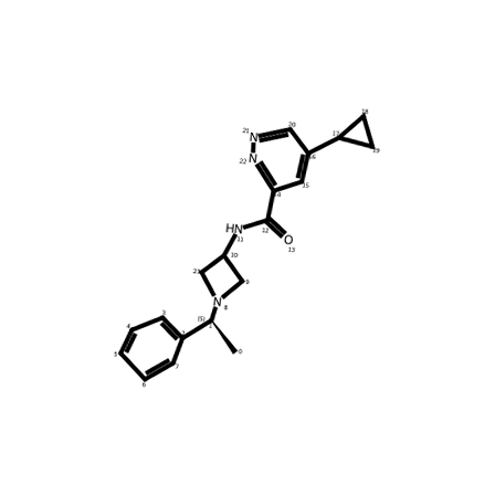 C[C@@H](c1ccccc1)N1CC(NC(=O)c2cc(C3CC3)cnn2)C1